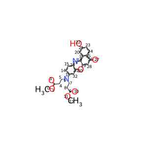 COC(=O)CCN(CCC(=O)OC)c1ccc2nc3c4cc(O)ccc4c(=O)cc-3oc2c1